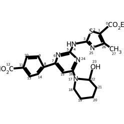 CCOC(=O)c1sc(Nc2nc(-c3ccc(C(=O)O)cc3)cc(N3CCCCC3O)n2)nc1C